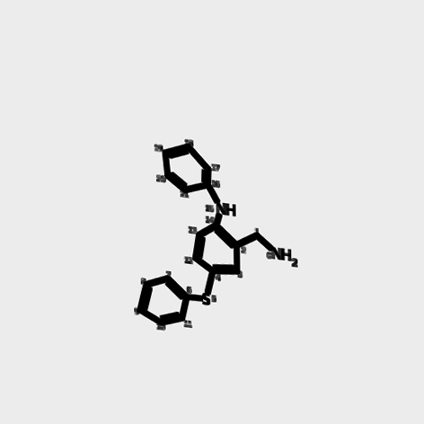 NCc1cc(Sc2ccccc2)ccc1Nc1ccccc1